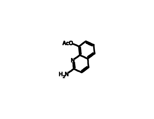 CC(=O)Oc1cccc2ccc(N)nc12